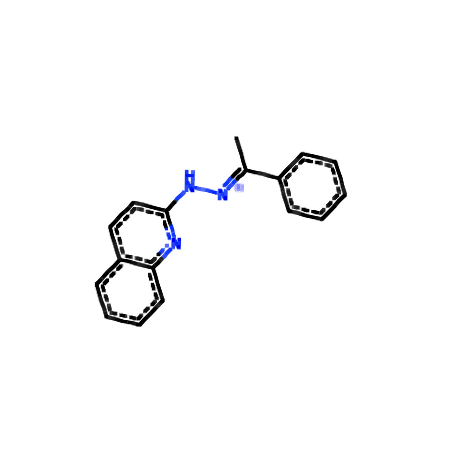 C/C(=N\Nc1ccc2ccccc2n1)c1ccccc1